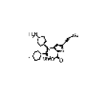 COC(=O)c1sc(C#CC(C)(C)C)cc1N(C(=O)[C@H]1CC[C@H](C)CC1)C1CCC(N)CC1